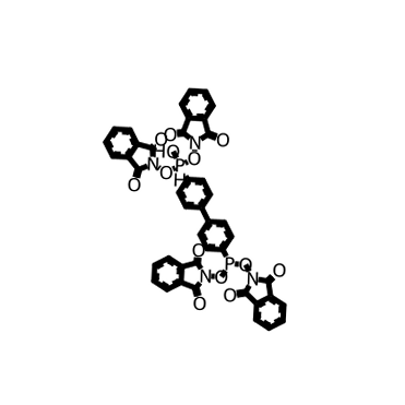 O=C1c2ccccc2C(=O)N1OP(ON1C(=O)c2ccccc2C1=O)c1ccc(-c2ccc([PH](O)(ON3C(=O)c4ccccc4C3=O)ON3C(=O)c4ccccc4C3=O)cc2)cc1